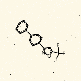 FC(F)(F)c1cc(-c2ccc(-c3ccccc3)cc2)no1